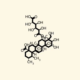 C[C@H]1[C@H](C)CC[C@]2(C(=O)O)CC[C@]3(C)C(=CC[C@@H]4[C@@]5(C)C[C@@H](O)[C@H](O)[C@@](C)(CO)[C@@H]5[C@H](OC(=O)[C@H](O)[C@@H](O)[C@H](O)[C@H](O)C(=O)O)C[C@]43C)[C@H]12